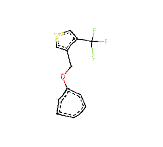 FC(F)(F)c1cscc1COc1[c]cccc1